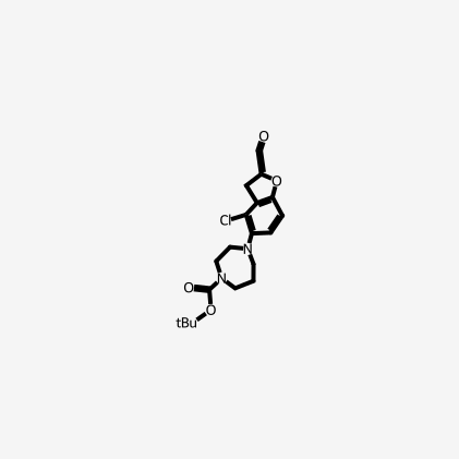 CC(C)(C)OC(=O)N1CCCN(c2ccc3c(c2Cl)CC(=C=O)O3)CC1